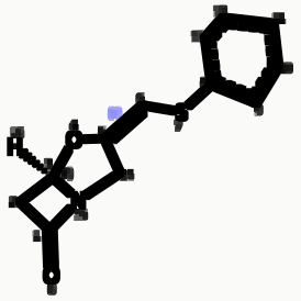 O=C1C[C@H]2O/C(=C/Sc3ccccc3)CN12